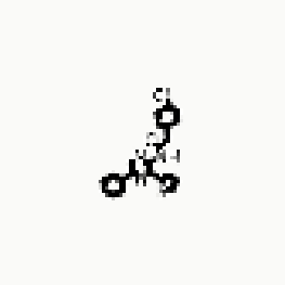 O=C(Cc1ccc(Cl)cc1)Nc1ncc(-c2ccccc2)nc1-c1cccs1